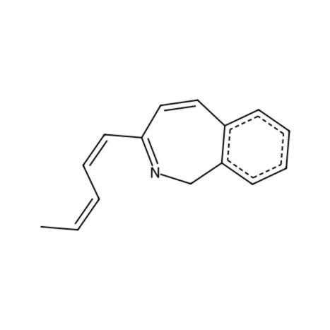 C/C=C\C=C/C1=NCc2ccccc2C=C1